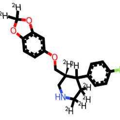 [2H]C1([2H])Oc2ccc(OC[C@@]3([2H])CNC([2H])([2H])C([2H])([2H])C3([2H])c3ccc(F)cc3)cc2O1